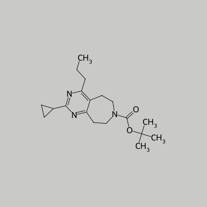 CCCc1nc(C2CC2)nc2c1CCN(C(=O)OC(C)(C)C)CC2